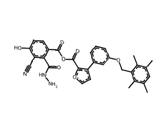 Cc1cc(C)c(C)c(COc2cccc(-c3ccoc3C(=O)OC(=O)c3ccc(O)c(C#N)c3C(=O)NN)c2)c1C